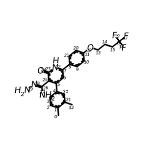 Cc1ccc(-c2cc(-c3ccc(OCCCC(F)(F)F)cc3)[nH]c(=O)c2/C(N)=N/N)cc1C